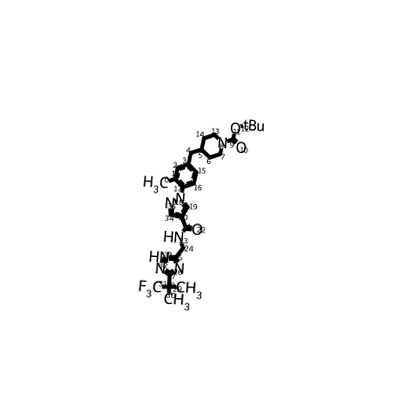 Cc1cc(CC2CCN(C(=O)OC(C)(C)C)CC2)ccc1-n1cc(C(=O)NCc2nc(C(C)(C)C(F)(F)F)n[nH]2)cn1